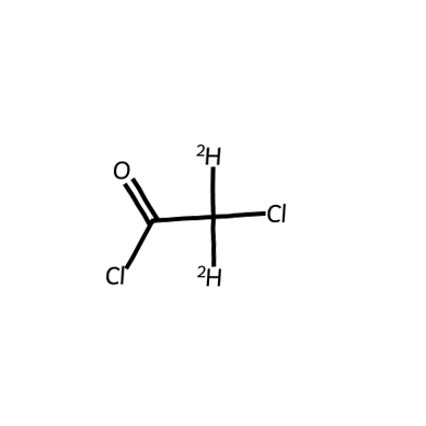 [2H]C([2H])(Cl)C(=O)Cl